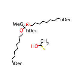 CC(O)=S.CCCCCCCCCCCCCCCCCCO[Si](CCCCCCCCCC)(OC)OCCCCCCCCCCCCCCCCCC